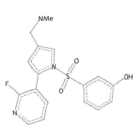 CNCc1cc(-c2cccnc2F)n(S(=O)(=O)c2cccc(O)c2)c1